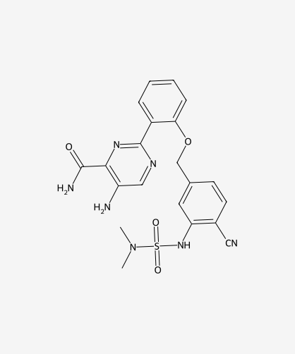 CN(C)S(=O)(=O)Nc1cc(COc2ccccc2-c2ncc(N)c(C(N)=O)n2)ccc1C#N